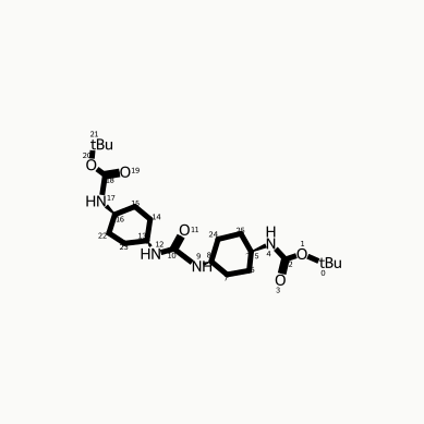 CC(C)(C)OC(=O)N[C@H]1CC[C@H](NC(=O)N[C@H]2CC[C@H](NC(=O)OC(C)(C)C)CC2)CC1